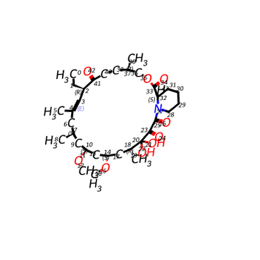 CC[C@@H]1/C=C(\C)C[C@H](C)C[C@H](OC)C[C@@H](OC)C[C@@H](C)C(O)(O)C(=O)C(=O)N2CCCC[C@H]2C(=O)OC[C@H](C)CCC1=O